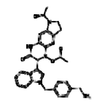 CC(=O)ON1c2cc3c(cc2NC(=O)C1c1cn(Cc2ccc(CN)cc2)c2ccccc12)N(C(C)=O)CC3